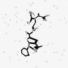 Cc1nn(C2CCCCC2)c2sc(C(=O)NCCN(C(N)=O)C(C)C(=O)O)cc12